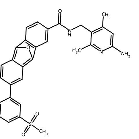 Cc1cc(N)nc(C)c1CNC(=O)c1ccc2c(c1)c1oc2c2ccc(-c3cccc(S(C)(=O)=O)c3)cc21